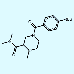 CN(C)C(=O)C1CN(C(=O)c2ccc(C(C)(C)C)cc2)CCN1C